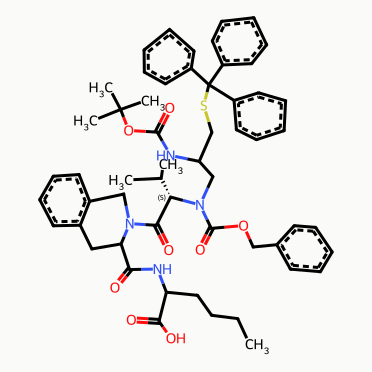 CCCCC(NC(=O)C1Cc2ccccc2CN1C(=O)[C@H](C(C)C)N(CC(CSC(c1ccccc1)(c1ccccc1)c1ccccc1)NC(=O)OC(C)(C)C)C(=O)OCc1ccccc1)C(=O)O